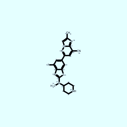 Cc1cn2nc(-c3cc(F)c4nc(N(C)C5CCNCC5)sc4c3)cc(C#N)c2n1